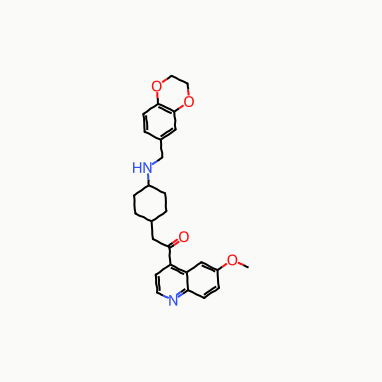 COc1ccc2nccc(C(=O)CC3CCC(NCc4ccc5c(c4)OCCO5)CC3)c2c1